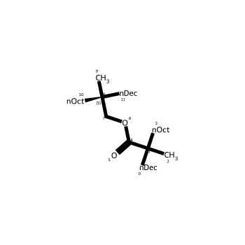 CCCCCCCCCCC(C)(CCCCCCCC)C(=O)OC[C@@](C)(CCCCCCCC)CCCCCCCCCC